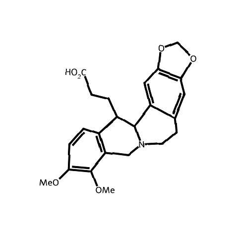 COc1ccc2c(c1OC)CN1CCc3cc4c(cc3C1C2CCC(=O)O)OCO4